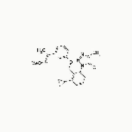 CON=C(C)c1cccc(OCc2c(C3CC3)cccc2-n2nnn(C)c2=O)c1